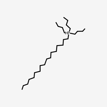 CCCCCCCCCCCCCCCCC[PH](CCCC)(CCCC)CCCC